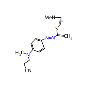 C=C(N=Nc1ccc(N(C)CCC#N)cc1)S/C=C\NC